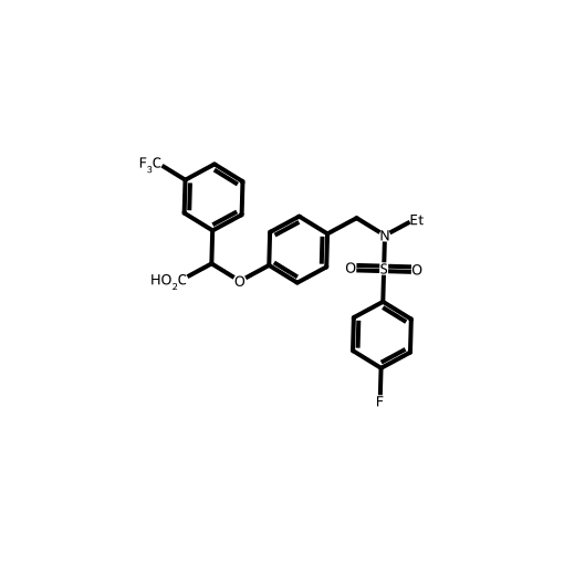 CCN(Cc1ccc(OC(C(=O)O)c2cccc(C(F)(F)F)c2)cc1)S(=O)(=O)c1ccc(F)cc1